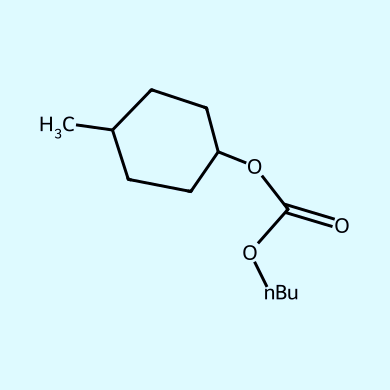 CCCCOC(=O)OC1CCC(C)CC1